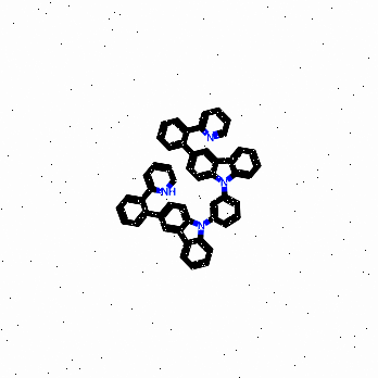 C1=CCNC(c2ccccc2-c2ccc3c(c2)c2ccccc2n3-c2cccc(-n3c4ccccc4c4cc(-c5ccccc5-c5ccccn5)ccc43)c2)=C1